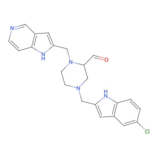 O=CC1CN(Cc2cc3cc(Cl)ccc3[nH]2)CCN1Cc1cc2cnccc2[nH]1